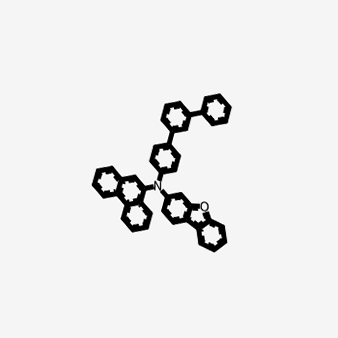 c1ccc(-c2cccc(-c3ccc(N(c4ccc5c(c4)oc4ccccc45)c4cc5ccccc5c5ccccc45)cc3)c2)cc1